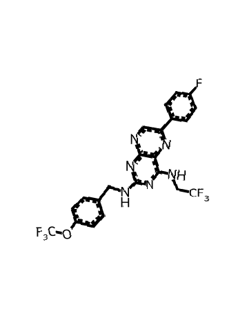 Fc1ccc(-c2cnc3nc(NCc4ccc(OC(F)(F)F)cc4)nc(NCC(F)(F)F)c3n2)cc1